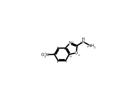 NNc1nc2cc([N+](=O)[O-])ccc2o1